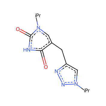 CC(C)n1cc(Cc2cn(C(C)C)c(=O)[nH]c2=O)nn1